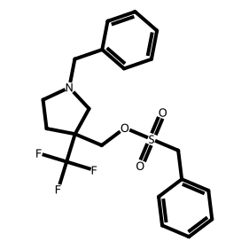 O=S(=O)(Cc1ccccc1)OCC1(C(F)(F)F)CCN(Cc2ccccc2)C1